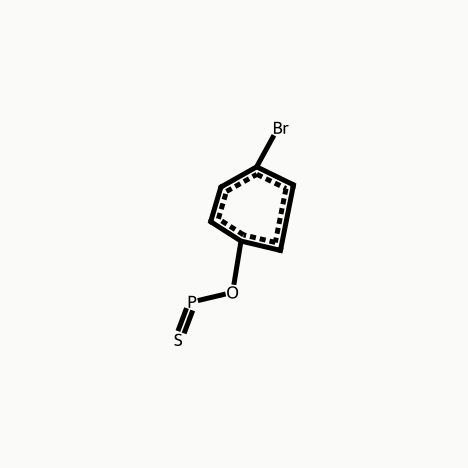 S=POc1ccc(Br)cc1